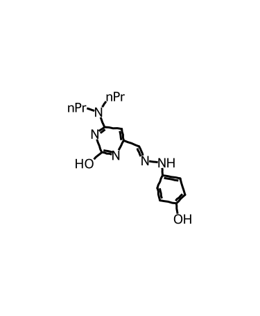 CCCN(CCC)c1cc(/C=N/Nc2ccc(O)cc2)nc(O)n1